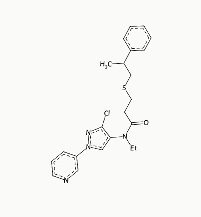 CCN(C(=O)CCSCC(C)c1ccccc1)c1cn(-c2cccnc2)nc1Cl